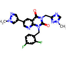 Cn1cc(-c2cnc3c(c2)c(=O)n(Cc2ncn(C)n2)c(=O)n3Cc2ccc(F)cc2F)cn1